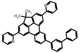 CC1(C)c2cc(-c3ccccn3)cc3c4ccc(-c5cccc(-c6ccccc6)c5)cc4c4cc(-c5ccccn5)cc1c4c23